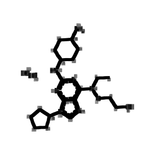 CCN(OCCO)c1nc(NC2CCC(N)CC2)nc2c1ncn2C1CCCC1.Cl.Cl